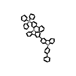 c1ccc(-c2ccc(-n3c4ccccc4c4cc(-c5ccc6c(c5)c5ccccc5n6-c5cc([Si](c6ccccc6)(c6ccccc6)c6ccccc6)ccc5-c5ccccc5)ccc43)cc2)cc1